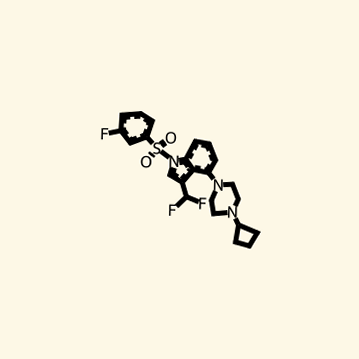 O=S(=O)(c1cccc(F)c1)n1cc(C(F)F)c2c(N3CCN(C4CCC4)CC3)cccc21